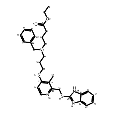 CCOC(=O)CCCN(CCCSc1ccnc(CSc2nc3ccccc3[nH]2)c1C)Cc1ccccc1